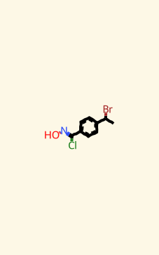 CC(Br)c1ccc(C(Cl)=NO)cc1